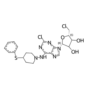 OC1C(O)[C@@H](CCl)O[C@H]1n1cnc2c(NN3CCC(Sc4ccccc4)CC3)nc(Cl)nc21